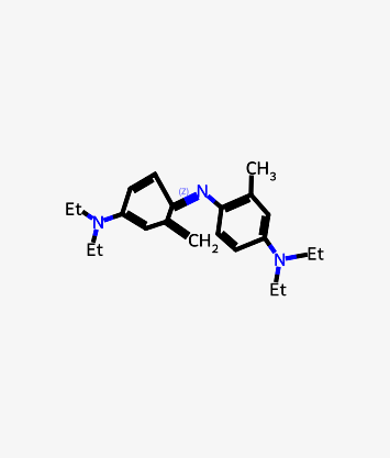 C=C1C=C(N(CC)CC)C=C/C1=N/c1ccc(N(CC)CC)cc1C